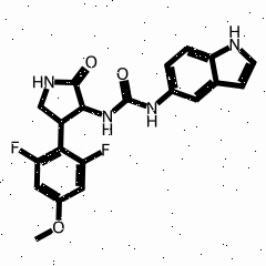 COc1cc(F)c(C2CNC(=O)C2NC(=O)Nc2ccc3[nH]ccc3c2)c(F)c1